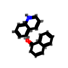 O=C1CC=Cc2ccccc21.c1ccc2ncccc2c1